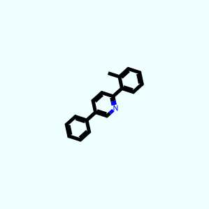 Cc1ccccc1-c1ccc(-c2ccccc2)cn1